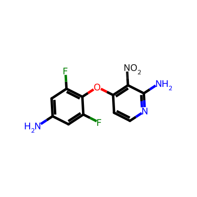 Nc1cc(F)c(Oc2ccnc(N)c2[N+](=O)[O-])c(F)c1